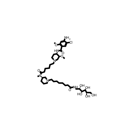 COc1cc(N)c(Cl)cc1C(=O)N[C@@H]1CCN(CCCCCC(=O)N(C)[C@@H]2CCCN(CCCCCCCC(=O)NC[C@H](O)[C@@H](O)[C@H](O)[C@H](O)CO)C2)C[C@@H]1OC